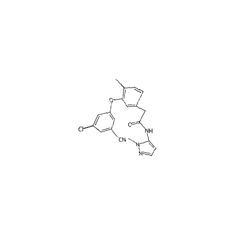 Cc1ccc(CC(=O)Nc2ccnn2C)cc1Oc1cc(Cl)cc(C#N)c1